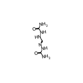 NC(=O)NN=CNNC(N)=O